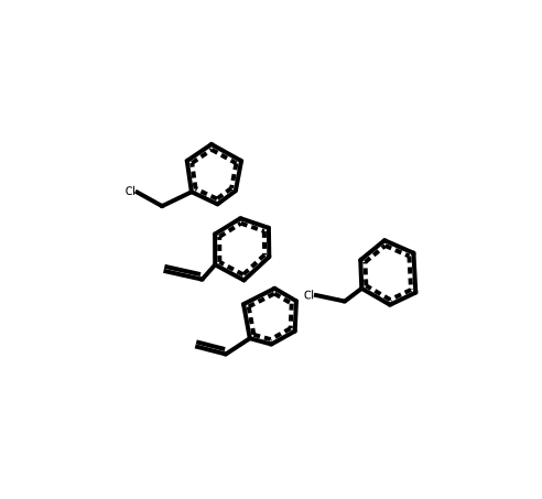 C=Cc1ccccc1.C=Cc1ccccc1.ClCc1ccccc1.ClCc1ccccc1